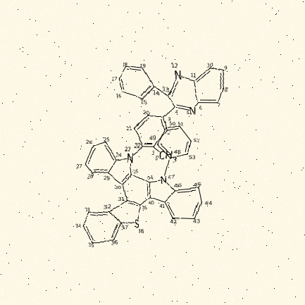 Cc1cc(-c2nc3ccccc3nc2-c2ccccc2)ccc1-n1c2ccccc2c2c3c4ccccc4sc3c3c4ccccc4n(-c4ccccc4)c3c21